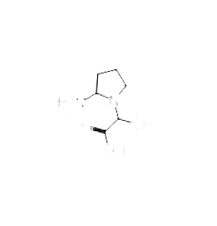 CC(C(=O)O)N1CCCC1N